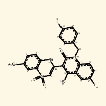 CC(=O)Nc1ccc2c(c1)S(=O)(=O)C=C(c1c(O)c3cc(F)ccc3n(Cc3ccc(F)cc3)c1=O)N2